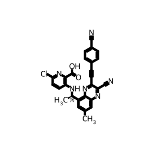 Cc1cc([C@@H](C)Nc2ccc(Cl)nc2C(=O)O)c2nc(C#Cc3ccc(C#N)cc3)c(C#N)nc2c1